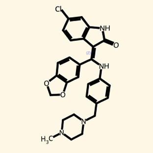 CN1CCN(Cc2ccc(N/C(=C3\C(=O)Nc4cc(Cl)ccc43)c3ccc4c(c3)OCO4)cc2)CC1